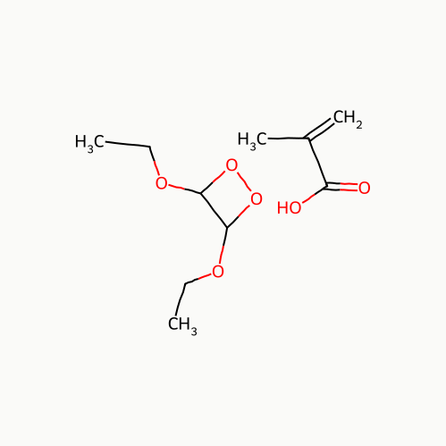 C=C(C)C(=O)O.CCOC1OOC1OCC